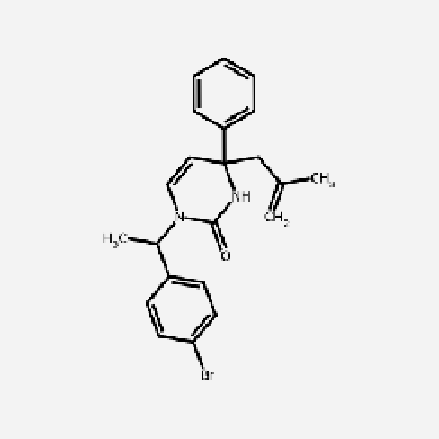 C=C(C)CC1(c2ccccc2)C=CN(C(C)c2ccc(Br)cc2)C(=O)N1